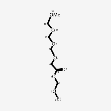 CCOCOC(=O)COCOCOCOC